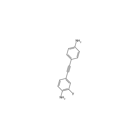 Nc1ccc(C#Cc2ccc(N)c(F)c2)cc1